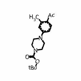 CC(=O)c1ccc(N2CCN(C(=O)OC(C)(C)C)CC2)cc1C